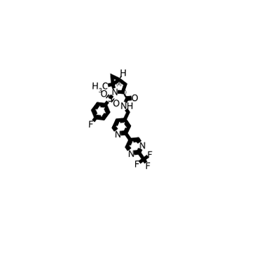 CC12C[C@H]1C[C@@H](C(=O)NCc1ccnc(-c3cnc(C(F)(F)F)nc3)c1)N2S(=O)(=O)c1ccc(F)cc1